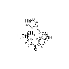 CN(C)[C@@H]1CCN(C(=O)c2ccc3[nH]nc(C#CC4CCNCC4)c3c2)C1